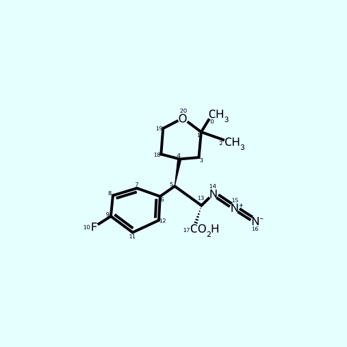 CC1(C)CC([C@H](c2ccc(F)cc2)[C@H](N=[N+]=[N-])C(=O)O)CCO1